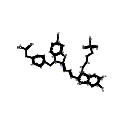 O=C(O)Cc1ccc(CN2/C(=C/C=C/c3oc4cc(F)c(F)cc4[n+]3CCCCS(=O)(=O)[O-])Oc3cc(F)ccc32)cc1